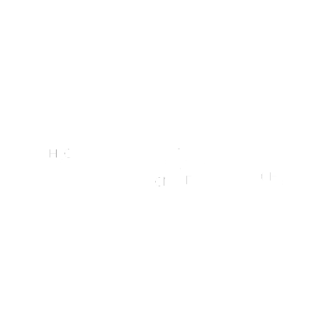 CCCCC1CC=C(c2ccc(C3CCC(C4CCC(CC)CC4)CC3)c(Cl)c2F)CC1